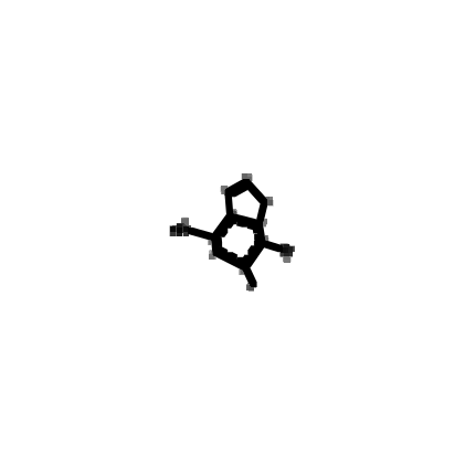 CCCc1cc(C)c(Br)c2c1C=CC2